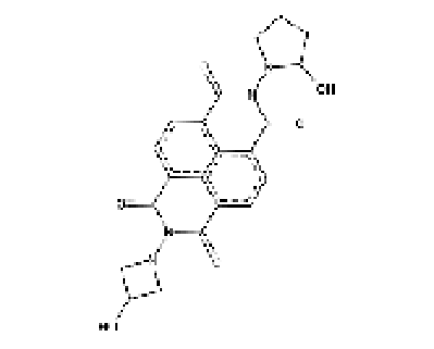 O=C1c2ccc3c4c(ccc(c24)C(=O)N1N1CC(O)C1)C(=O)N(N1CCCC1O)C3=O